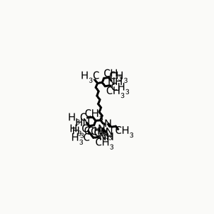 CCc1nc(NC(C)(C)CC(C)(C)C)nc(C(CCCCCCCCC(CC)C2CC(C)(C)NC(C)(C)C2)C2CC(C)(C)NC(C)(C)C2)n1